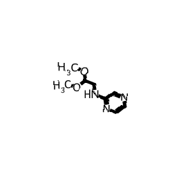 COC(CNc1cnccn1)OC